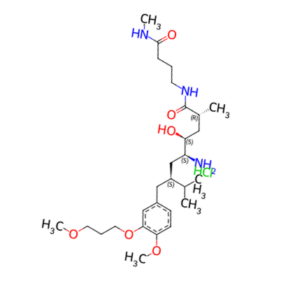 CNC(=O)CCCNC(=O)[C@H](C)C[C@H](O)[C@@H](N)C[C@H](Cc1ccc(OC)c(OCCCOC)c1)C(C)C.Cl